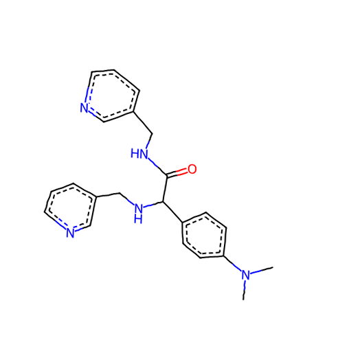 CN(C)c1ccc(C(NCc2cccnc2)C(=O)NCc2cccnc2)cc1